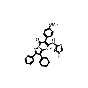 COc1ccc(-c2c(Nc3nc[nH]n3)[nH]c3c(C4=CCCCC4)c(-c4ccccc4)nn3c2=O)cc1